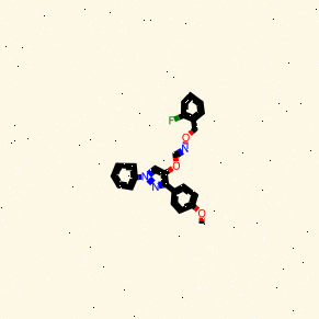 COc1ccc(-c2nn(-c3ccccc3)cc2OC=NOCc2ccccc2F)cc1